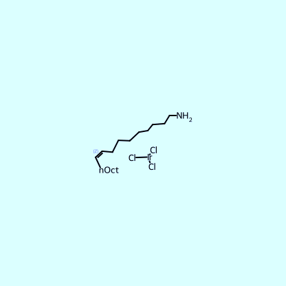 CCCCCCCC/C=C\CCCCCCCCN.[Cl][Ir]([Cl])[Cl]